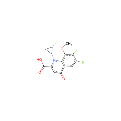 COc1c(F)c(F)cc2c(=O)cc(C(=O)O)n([C@@H]3C[C@@H]3F)c12